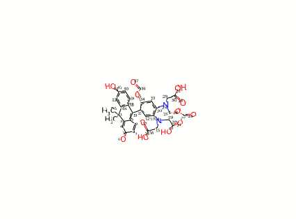 CC1(C)C2=CC(=O)C=CC2=C(c2cc(N(CC(=O)O)CC(=O)O)c(N(COC=O)CC(=O)O)cc2OC=O)c2ccc(O)cc21